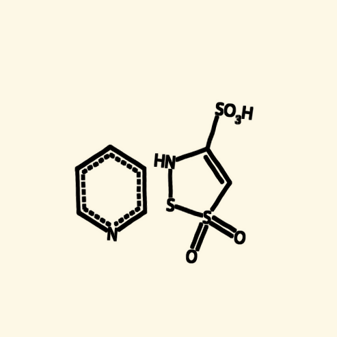 O=S1(=O)C=C(S(=O)(=O)O)NS1.c1ccncc1